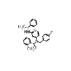 Cc1ccccc1C(=O)N(Cc1ccc(F)cc1)c1ccnc(N[C@@H](C)c2ccccc2)c1